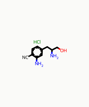 Cl.N#Cc1ccc(CC(N)CO)cc1N